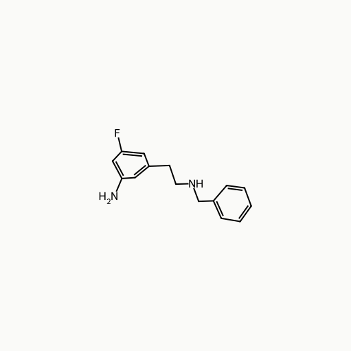 Nc1cc(F)cc(CCNCc2ccccc2)c1